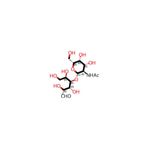 CC(=O)N[C@H]1[C@H](O[C@@H]([C@H](O)[C@@H](O)C=O)[C@H](O)CO)O[C@H](CO)[C@H](O)[C@@H]1O